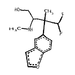 CNC(CO)C(C)(c1ccc2occc2c1)C(F)F